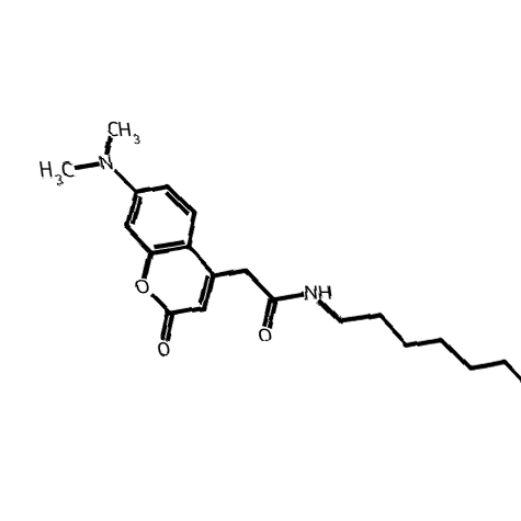 CN(C)c1ccc2c(CC(=O)NCCCCCCN)cc(=O)oc2c1